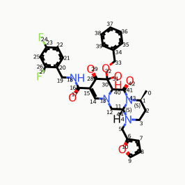 C[C@H]1CCN(Cc2ccco2)[C@@H]2CN3C=C(C(=O)NCc4ccc(F)cc4F)C(=O)C(O)(OCc4ccccc4)C3C(=O)N12